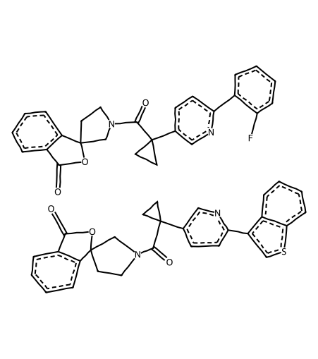 O=C1OC2(CCN(C(=O)C3(c4ccc(-c5ccccc5F)nc4)CC3)C2)c2ccccc21.O=C1OC2(CCN(C(=O)C3(c4ccc(-c5csc6ccccc56)nc4)CC3)C2)c2ccccc21